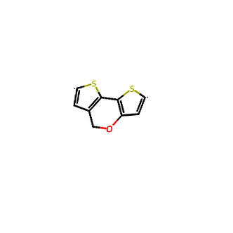 [c]1cc2c(s1)-c1s[c]cc1OC2